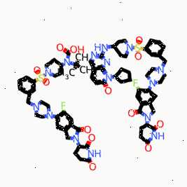 CC(C)(C)N(C(=O)O)C1CCN(S(=O)(=O)c2cccc(CN3CCN(c4cc5c(cc4F)C(=O)N(C4CCC(=O)NC4=O)C5)CC3)c2)CC1.O=C1CCC(N2Cc3cc(N4CCN(Cc5cccc(S(=O)(=O)N6CCC(Nc7ncc8ccc(=O)n(C9CCCC9)c8n7)CC6)c5)CC4)c(F)cc3C2=O)C(=O)N1